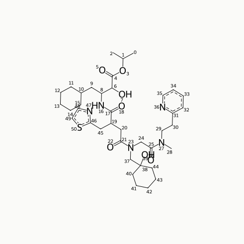 CC(C)OC(=O)C(O)C(CC1CCCCC1)NC(=O)C(CC(=O)N(CC(=O)N(C)CCc1ccccn1)CC1(O)CCCCC1)Cc1nccs1